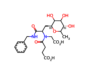 CC1O[C@@H](CC(C(=O)NCc2ccccc2)N(CC(=O)O)C(=O)CCC(=O)O)C(O)C(O)[C@@H]1O